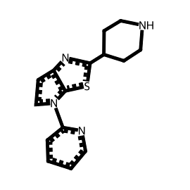 c1ccc(-n2ccc3nc(C4CCNCC4)sc32)nc1